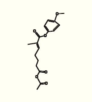 COc1ccc(OC(=O)C(C)=CCCCC(=O)OC(C)=O)cc1